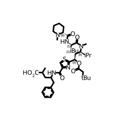 CC[C@H](C)[C@H](NC(=O)[C@H]1CCCCN1C)C(=O)N(C)[C@H](C[C@@H](OC(=O)CC(C)(C)C)c1nc(C(=O)NC(Cc2ccccc2)CC(C)C(=O)O)cs1)C(C)C